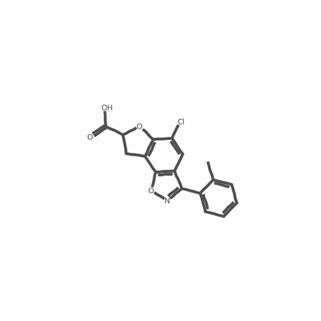 Cc1ccccc1-c1noc2c3c(c(Cl)cc12)OC(C(=O)O)C3